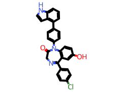 O=C1CN=C(c2ccc(Cl)cc2)c2cc(O)ccc2N1c1ccc(-c2cccc3[nH]ccc23)cc1